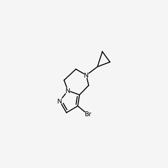 Brc1cnn2c1CN(C1CC1)CC2